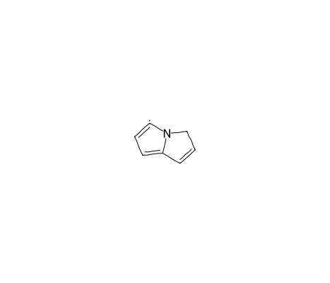 [c]1ccc2n1CC=C2